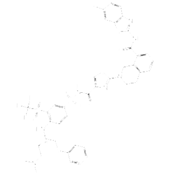 CN(C)CC[C@H](CSc1ccccc1)Nc1ccc(S(=O)(=O)NC(=O)c2csc(N3CCc4cccc(C(=O)Nc5nc6ccc(F)cc6s5)c4C3)n2)cc1S(=O)(=O)C(F)(F)F